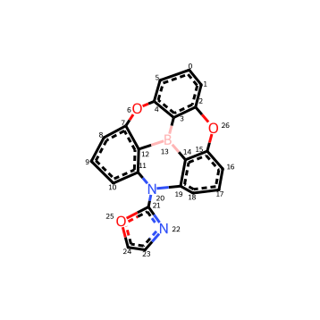 c1cc2c3c(c1)Oc1cccc4c1B3c1c(cccc1N4c1ncco1)O2